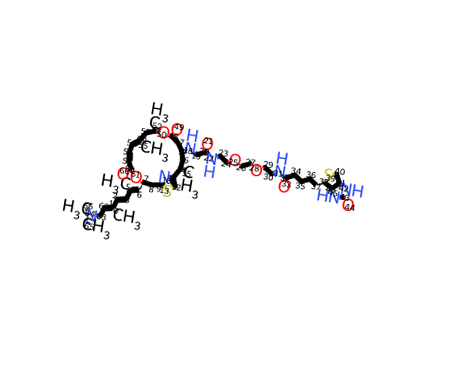 CC(/C=C/C(C)=C/[C@H]1Cc2nc(cs2)[C@@H](C)C[C@@H](NCC(=O)NCCOCCOCCNC(=O)CCCC[C@@H]2SCC3NC(=O)NC32)CC(=O)O[C@@H](C)C/C(C)=C/C=C\C(=O)O1)=C\CN(C)C